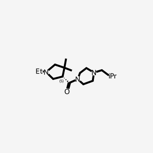 CCN1C[C@@H](C(=O)N2CCN(CC(C)C)CC2)C(C)(C)C1